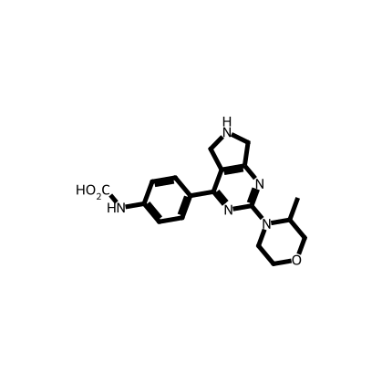 CC1COCCN1c1nc2c(c(-c3ccc(NC(=O)O)cc3)n1)CNC2